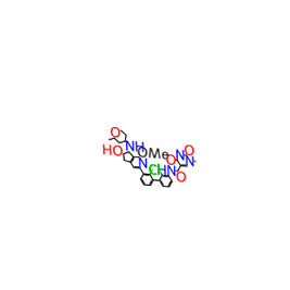 COc1nc(-c2cccc(-c3cccc(NC(=O)c4cn(C)c(=O)n(C)c4=O)c3Cl)c2Cl)cc2c1C(NC1CCOC(C)C1)C(O)C2